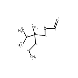 CCCC(C)(COC=O)C(C)C